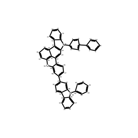 c1ccc(-c2ccc(-n3c4ccccc4c4c5cccc6c5c(cc43)-c3ccc(-c4ccc5c7ccccc7n(-c7ccccc7)c5c4)cc3O6)cc2)cc1